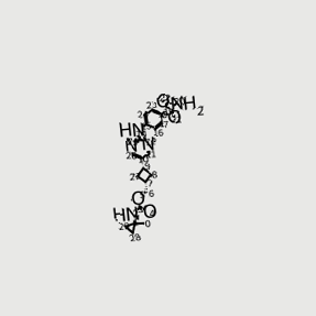 CC1(NC(=O)OC[C@H]2C[C@@H](c3cnc(Nc4ccc(S(N)(=O)=O)cc4)nc3)C2)CC1